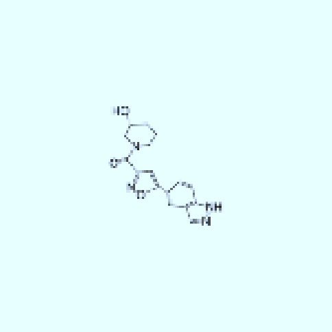 O=C(c1cc(-c2ccc3[nH]ncc3c2)on1)N1CCC[C@@H](O)C1